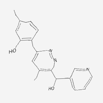 Cc1ccc(-c2cc(C)c(C(O)c3cccnc3)nn2)c(O)c1